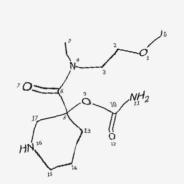 COCCN(C)C(=O)C1(OC(N)=O)CCCNC1